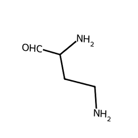 NCCC(N)C=O